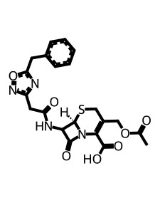 CC(=O)OCC1=C(C(=O)O)N2C(=O)C(NC(=O)Cc3noc(Cc4ccccc4)n3)[C@H]2SC1